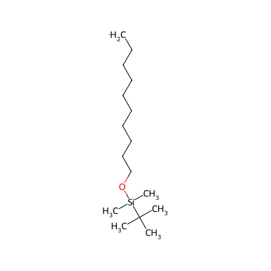 [CH2]CCCCCCCCCO[Si](C)(C)C(C)(C)C